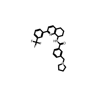 O=C(NC1CCCc2ccc(-c3cccc(C(F)(F)F)c3)nc21)c1cccc(CN2CCCC2)c1